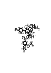 C[C@]1(C(N)=O)COc2c1cc(C(O)(CNC(=O)c1ccc(N3CCC3)c(OC3CC3)c1)C(F)(F)F)nc2-c1ccc(F)cc1